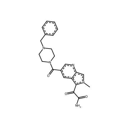 Cn1cc2ncc(C(=O)N3CCN(Cc4ccccc4)CC3)cc2c1C(=O)C(N)=O